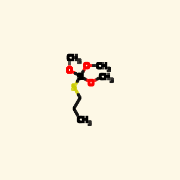 CCCS[Si](OC)(OC)OC